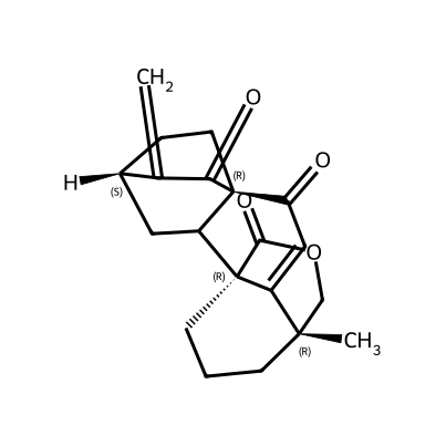 C=C1C(=O)[C@]23CC[C@H]1CC2[C@@]12CCC[C@@](C)(COC1=O)C2=CC3=O